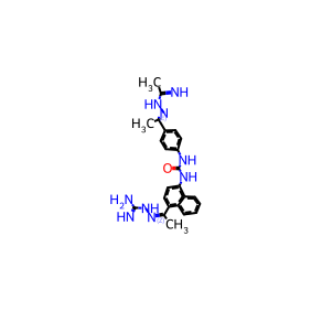 CC(=N)N/N=C(\C)c1ccc(NC(=O)Nc2ccc(/C(C)=N\NC(=N)N)c3ccccc23)cc1